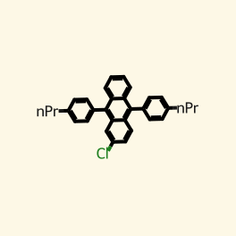 CCCc1ccc(-c2c3ccccc3c(-c3ccc(CCC)cc3)c3cc(Cl)ccc23)cc1